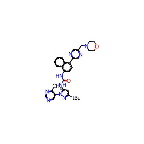 Cc1ncncc1-n1nc(C(C)(C)C)cc1NC(=O)Nc1ccc(-c2cnc(CN3CCOCC3)cn2)c2ccccc12